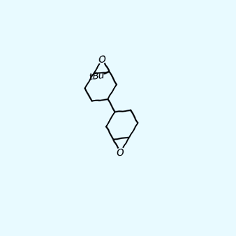 CC(C)(C)C12CC(C3CCC4OC4C3)CCC1O2